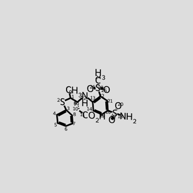 CC(Sc1ccccc1)[C@@H](CC(=O)O)Nc1ccc(S(N)(=O)=O)cc1S(C)(=O)=O